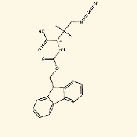 CC(C)(CN=[N+]=[N-])[C@H](NC(=O)OCC1c2ccccc2-c2ccccc21)C(=O)O